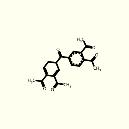 CC(=O)C1=CCC(C(=O)c2ccc(C(C)=O)c(C(C)=O)c2)C=C1C(C)=O